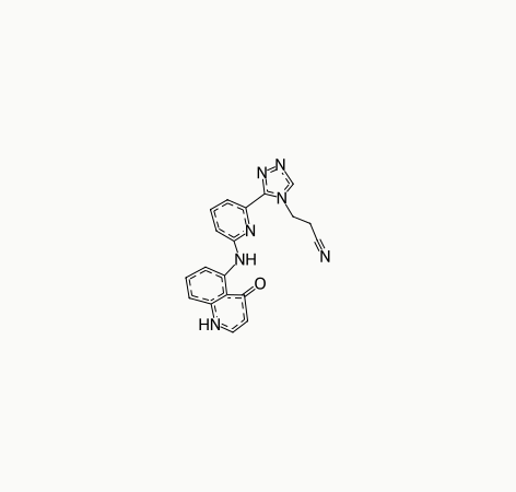 N#CCCn1cnnc1-c1cccc(Nc2cccc3[nH]ccc(=O)c23)n1